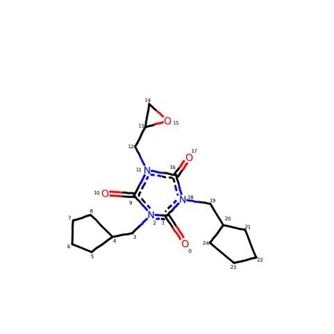 O=c1n(CC2CCCC2)c(=O)n(CC2CO2)c(=O)n1CC1CCCC1